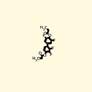 C=CC(=O)Oc1ccc(-c2cc(F)c(OC(=O)C=C)c(F)c2)c(F)c1F